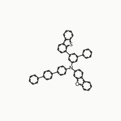 c1ccc(-c2ccc(-c3ccc(N(c4cc(-c5ccccc5)cc(-c5cccc6c5sc5ccccc56)c4)c4ccc5c(c4)oc4ccccc45)cc3)cc2)cc1